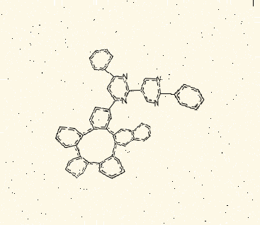 c1ccc(-c2cc(-c3ccc4c5ccccc5c5ccccc5c5ccccc5c5cc6ccccc6cc5c4c3)nc(-c3cnc(-c4ccccc4)nc3)n2)cc1